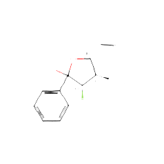 CC[C@H]1OC(O)(c2ccccc2)[C@H](F)[C@@H]1C